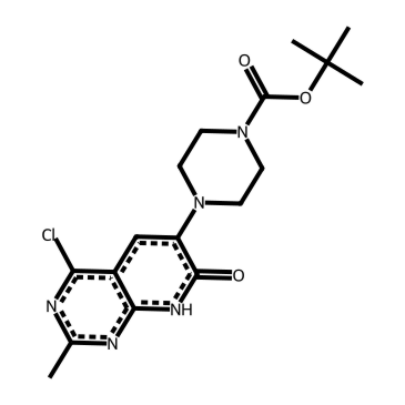 Cc1nc(Cl)c2cc(N3CCN(C(=O)OC(C)(C)C)CC3)c(=O)[nH]c2n1